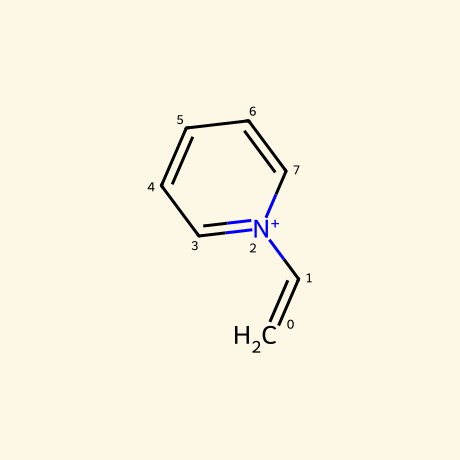 C=C[n+]1ccccc1